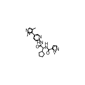 Cc1cnn(C)c1-c1ccc(NC(=O)C(NC(=O)c2ccnn2C)C2CCCC2)nc1